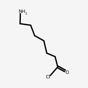 NCCCCCCC(=O)Cl